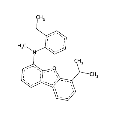 CCc1ccccc1N(C)c1cccc2c1oc1c(C(C)C)cccc12